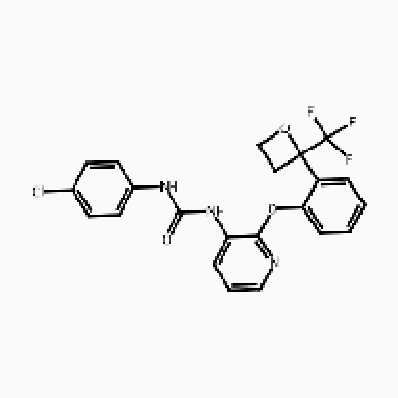 O=C(Nc1ccc(Cl)cc1)Nc1cccnc1Oc1ccccc1C1(C(F)(F)F)CCO1